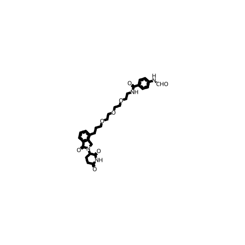 O=CNc1ccc(C(=O)NCCOCCOCCOCCCc2cccc3c2CN(C2CCC(=O)NC2=O)C3=O)cc1